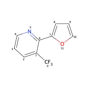 FC(F)(F)c1cccnc1-c1ccco1